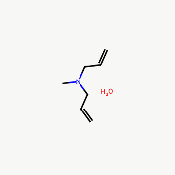 C=CCN(C)CC=C.O